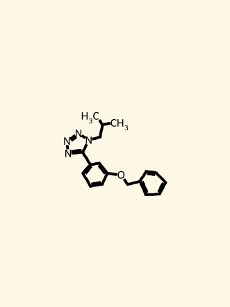 CC(C)Cn1nnnc1-c1cccc(OCc2ccccc2)c1